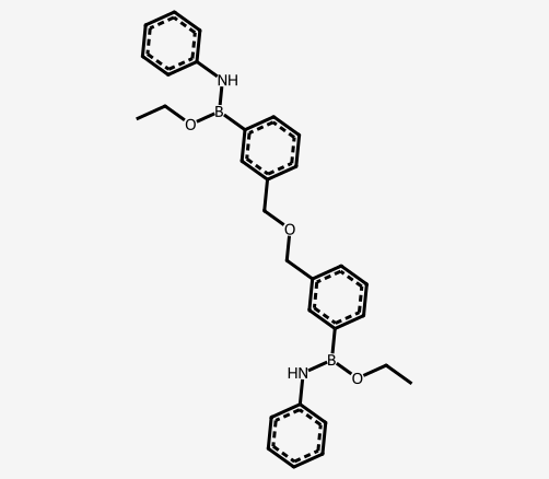 CCOB(Nc1ccccc1)c1cccc(COCc2cccc(B(Nc3ccccc3)OCC)c2)c1